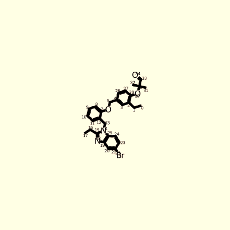 CCc1cc(COc2ccccc2Cn2c(CC)nc3cc(Br)ccc32)ccc1OC(C)(C)C=O